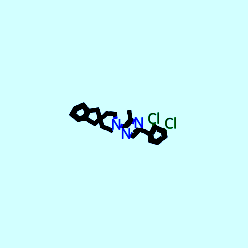 Cc1nc(-c2cccc(Cl)c2Cl)cnc1N1CCC2(CC1)Cc1ccccc1C2